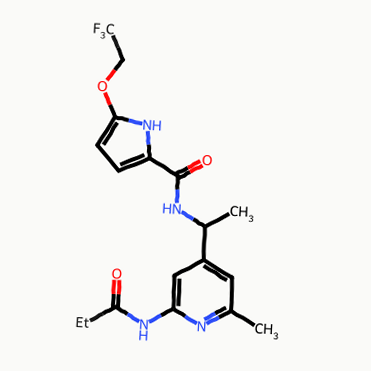 CCC(=O)Nc1cc(C(C)NC(=O)c2ccc(OCC(F)(F)F)[nH]2)cc(C)n1